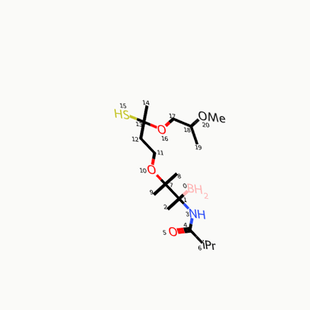 BC(C)(NC(=O)C(C)C)C(C)(C)OCCC(C)(S)OCC(C)OC